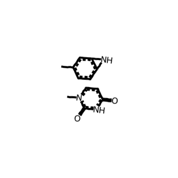 Cc1ccc2c(c1)N2.Cn1ccc(=O)[nH]c1=O